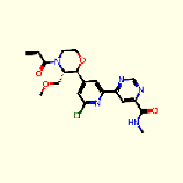 C=CC(=O)N1CCO[C@@H](c2cc(Cl)nc(-c3cc(C(=O)NC)ncn3)c2)[C@@H]1COC